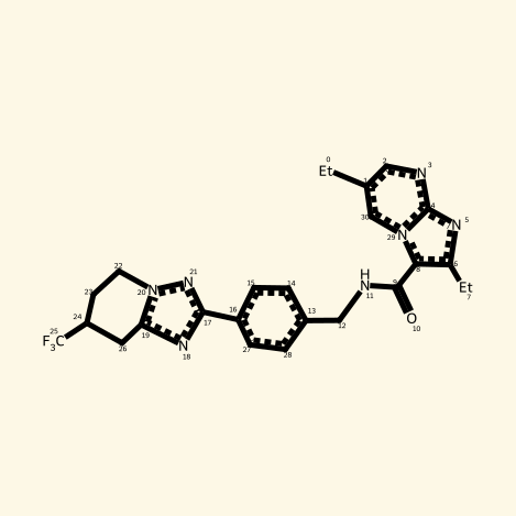 CCc1cnc2nc(CC)c(C(=O)NCc3ccc(-c4nc5n(n4)CCC(C(F)(F)F)C5)cc3)n2c1